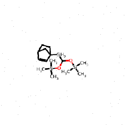 C[Si](C)(C)OC(O[Si](C)(C)C)[SiH2]C12C=CC(CC1)C2